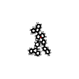 CC1(C2=CCC(C)(N(c3ccc(-c4cc5ccccc5c5ccccc45)cc3)c3cc(-c4ccc5ccccc5c4)ccc3-c3ccccc3)C=C2)C=c2ccccc2=C2C=CC=CC21